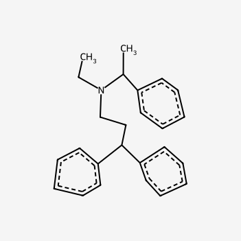 CCN(CCC(c1ccccc1)c1ccccc1)C(C)c1ccccc1